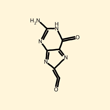 Nc1nc2c(c(=O)[nH]1)=NC(=C=O)N=2